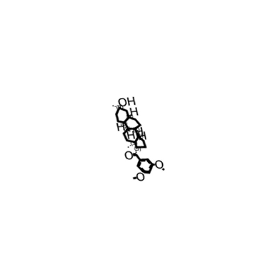 COc1cc(OC)cc(C(=O)[C@H]2CC[C@H]3[C@@H]4CC[C@@H]5C[C@](C)(O)CC[C@@H]5[C@H]4CC[C@]23C)c1